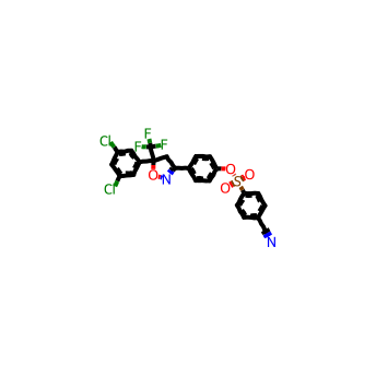 N#Cc1ccc(S(=O)(=O)Oc2ccc(C3=NOC(c4cc(Cl)cc(Cl)c4)(C(F)(F)F)C3)cc2)cc1